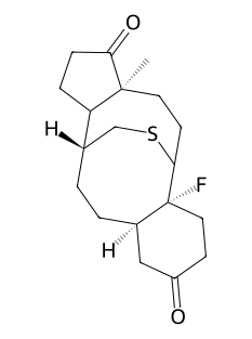 C[C@]12CCC3SC[C@H](CC[C@@H]4CC(=O)CC[C@]34F)C1CCC2=O